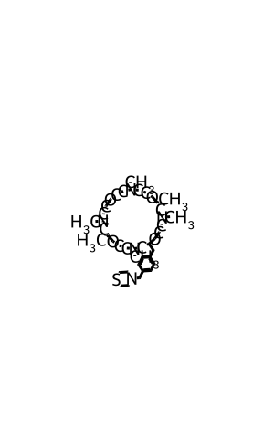 CC1CN(C)CCOCCN(C)CCOC(C)CN(C)CCOC(Cc2ccc(CN3CCSCC3)cc2)CN(C)CCO1